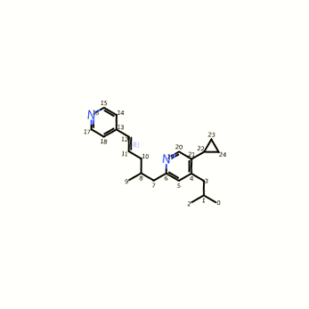 CC(C)Cc1cc(CC(C)C/C=C/c2ccncc2)ncc1C1CC1